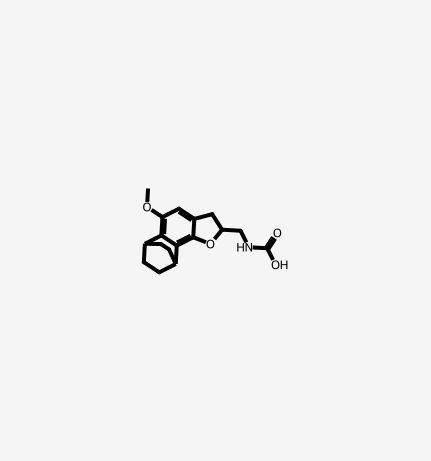 COc1cc2c(c3c1C1CCC3CC1)OC(CNC(=O)O)C2